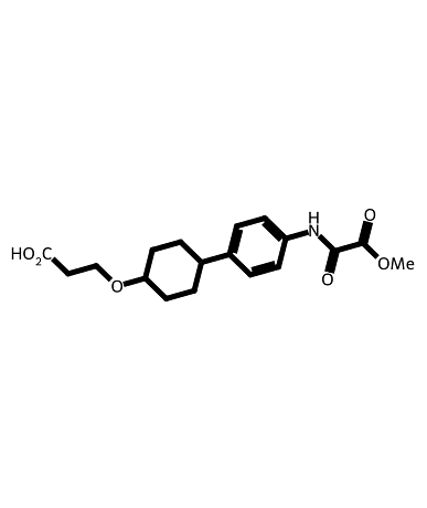 COC(=O)C(=O)Nc1ccc(C2CCC(OCCC(=O)O)CC2)cc1